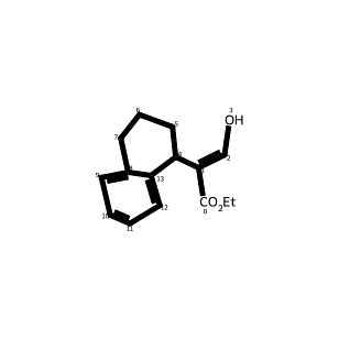 CCOC(=O)/C(=C/O)C1CCCc2ccccc21